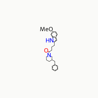 COc1ccc2cc(CCCC(=O)N3CCCC(Cc4ccccc4)C3)[nH]c2c1